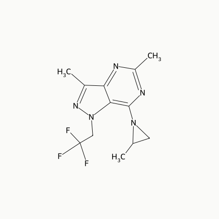 Cc1nc(N2CC2C)c2c(n1)c(C)nn2CC(F)(F)F